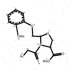 COC(=O)C1CSC(COc2ccccc2OC)N1C(=S)CC(C)=O